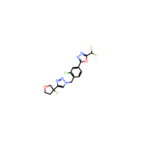 Fc1cc(-c2nnc(C(F)F)o2)ccc1Cn1cc(C2(F)CCOC2)nn1